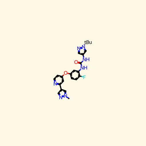 Cn1cc(-c2cc(Oc3ccc(F)c(NC(=O)Nc4cnn(C(C)(C)C)c4)c3)ccn2)cn1